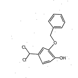 Oc1ccc(C(Cl)Cl)cc1OCc1ccccc1